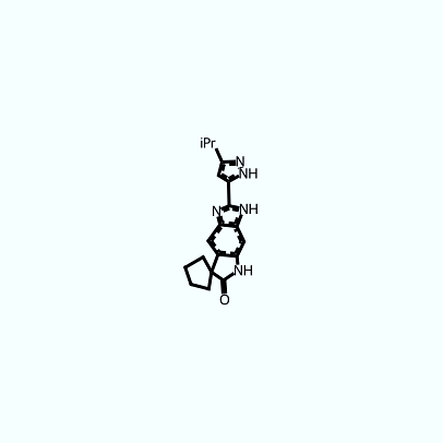 CC(C)c1cc(-c2nc3cc4c(cc3[nH]2)NC(=O)C42CCCC2)[nH]n1